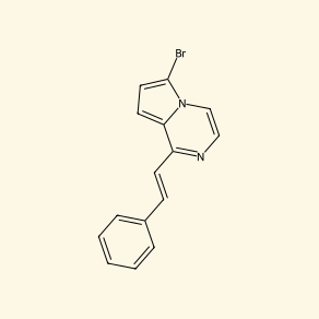 Brc1ccc2c(/C=C/c3ccccc3)nccn12